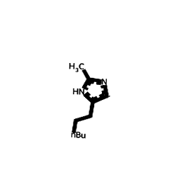 CCCCCCc1[c]nc(C)[nH]1